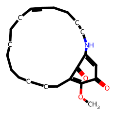 COC1=C2CCCCCCCCCC=CCCCCNC(=CC1=O)C2=O